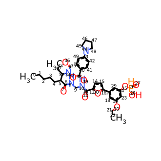 CCCCCC(C(=O)NCNC(=O)c1ccc(-c2cc(OCC)cc(O[PH](=O)O)c2)o1)C(CC)N(C=O)OC(=O)c1ccc(N2CCCC2)cc1